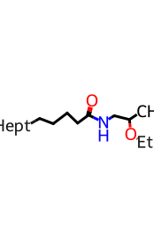 [CH2]C(CNC(=O)CCCCCCCCCCC)OCC